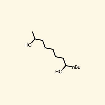 CCCCC(O)CCCCCC(C)O